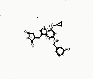 O=C1C/C(=C\c2cnn3c(NC4CC4)cc(NCc4cccc(Cl)c4)nc23)C(=O)N1